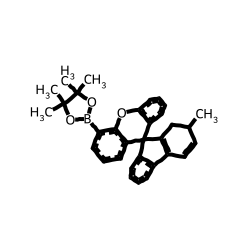 CC1C=CC2=C(C1)C1(c3ccccc3Oc3c(B4OC(C)(C)C(C)(C)O4)cccc31)c1ccccc12